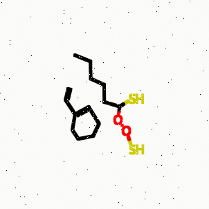 C=CC1=CCCCC1.CCCCCC(S)OOS